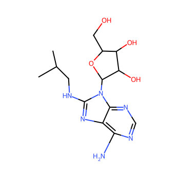 CC(C)CNc1nc2c(N)ncnc2n1C1OC(CO)C(O)C1O